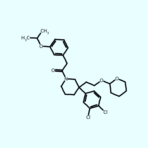 CC(C)Oc1cccc(CC(=O)N2CCCC(CCOC3CCCCO3)(c3ccc(Cl)c(Cl)c3)C2)c1